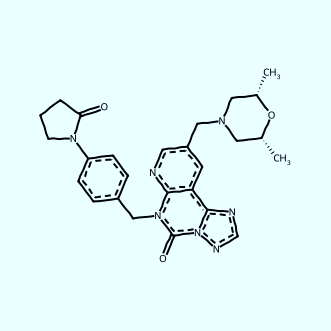 C[C@@H]1CN(Cc2cnc3c(c2)c2ncnn2c(=O)n3Cc2ccc(N3CCCC3=O)cc2)C[C@H](C)O1